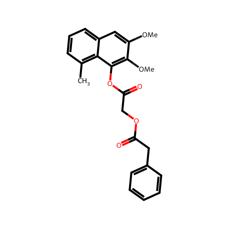 COc1cc2cccc(C)c2c(OC(=O)COC(=O)Cc2ccccc2)c1OC